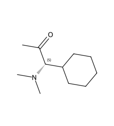 CC(=O)[C@H](C1CCCCC1)N(C)C